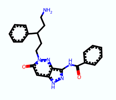 NCCC(CCn1nc2c(NC(=O)c3ccccc3)n[nH]c2cc1=O)c1ccccc1